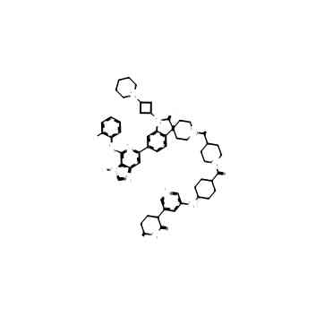 CC(C)n1cnc2cc(-c3ccc4c(c3)N(C3CC(N5CCCCC5)C3)C(=O)C43CCN(C(=O)C4CCN(C(=O)C5CCC(Nc6cncc(C7CCC(=O)NC7=O)c6)CC5)CC4)CC3)nc(Nc3ccccc3F)c21